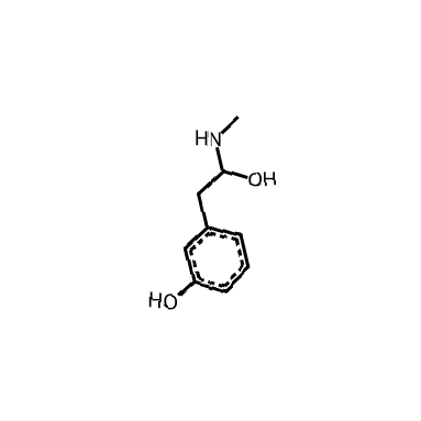 CNC(O)Cc1cccc(O)c1